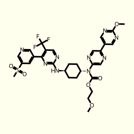 COCCOC(=O)N(c1cnc(-c2cnc(OC)nc2)cn1)[C@H]1CC[C@H](Nc2ncc(C(F)(F)F)c(-c3cncc(S(C)(=O)=O)c3)n2)CC1